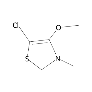 COC1=C(Cl)SCN1C